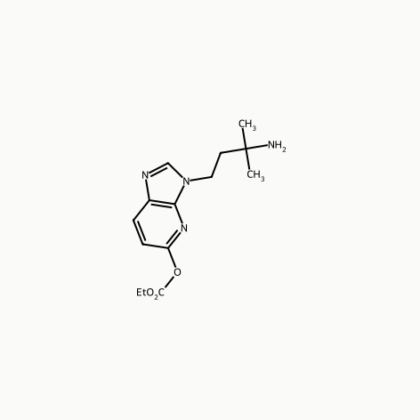 CCOC(=O)Oc1ccc2ncn(CCC(C)(C)N)c2n1